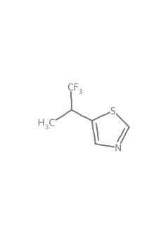 CC(c1cncs1)C(F)(F)F